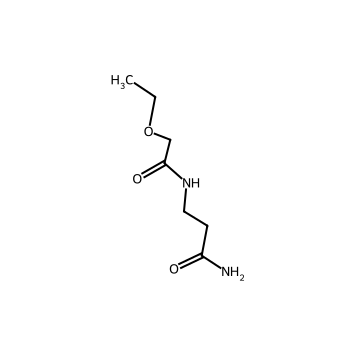 CCOCC(=O)NCCC(N)=O